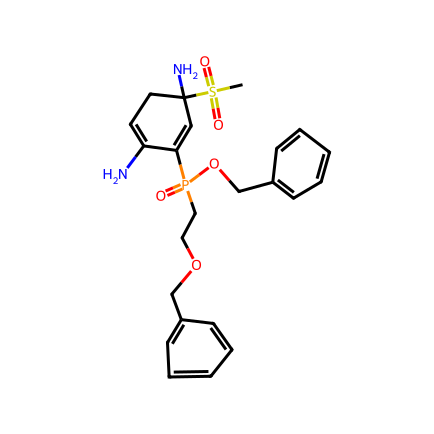 CS(=O)(=O)C1(N)C=C(P(=O)(CCOCc2ccccc2)OCc2ccccc2)C(N)=CC1